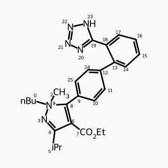 CCCC[N+]1(C)N=C(C(C)C)C(C(=O)OCC)=C1c1ccc(-c2ccccc2-c2nnn[nH]2)cc1